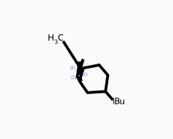 CCC(C)C1CCC2=C\CC(C)/C=C/N=C\2C1